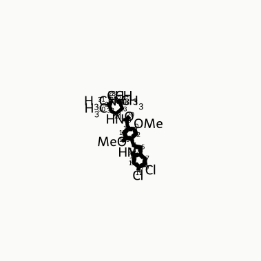 COc1cc(-c2cc3cc(Cl)c(Cl)cc3[nH]2)c(OC)cc1C(=O)NC1CC(C)(C)N(C)C(C)(C)C1